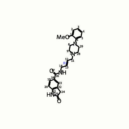 COc1ccccc1N1CCN(C/C=C/CNC(=O)c2ccc3c(c2)CC(=O)N3)CC1